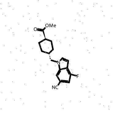 COC(=O)[C@H]1CC[C@H](Cn2ccc3c(F)cc(C#N)cc32)CC1